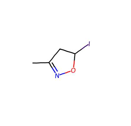 CC1=NOC(I)C1